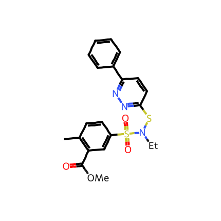 CCN(Sc1ccc(-c2ccccc2)nn1)S(=O)(=O)c1ccc(C)c(C(=O)OC)c1